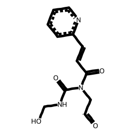 O=[C]CN(C(=O)C=Cc1ccccn1)C(=O)NCO